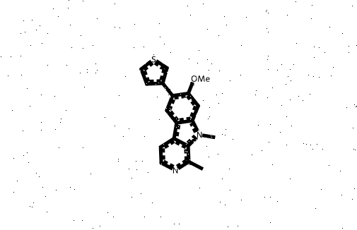 COc1cc2c(cc1-c1ccsc1)c1ccnc(C)c1n2C